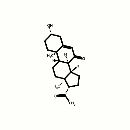 CC(=O)[C@H]1CC[C@H]2[C@@H]3C(=O)C=C4C[C@@H](O)CC[C@]4(C)[C@H]3CC[C@]12C